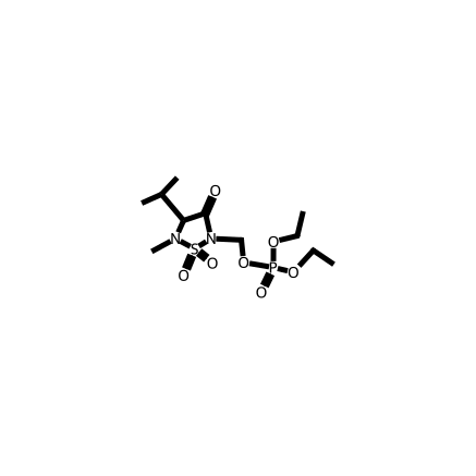 CCOP(=O)(OCC)OCN1C(=O)C(C(C)C)N(C)S1(=O)=O